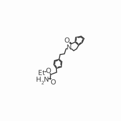 CCOC(Cc1ccc(CCCN2CCc3ccccc3C2=O)cc1)C(N)=O